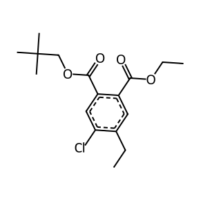 CCOC(=O)c1cc(CC)c(Cl)cc1C(=O)OCC(C)(C)C